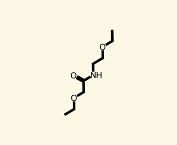 CCOCCNC(=O)COCC